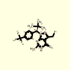 Cc1nc2c(c(CF)nn2[C@@H](c2ccc(C(F)(F)F)cc2)C(C)(C)C)c(=O)[nH]1